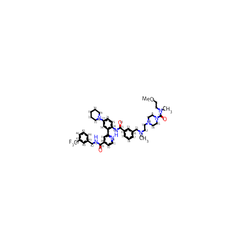 COCCN(C)C(=O)N1CCN(CCN(C)Cc2cccc(C(=O)Nc3ccc(N4CCCCC4)cc3-c3cc(C(=O)NCc4cccc(C(F)(F)F)c4)ccn3)c2)CC1